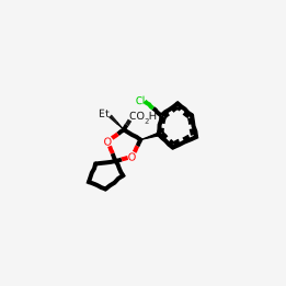 CC[C@]1(C(=O)O)OC2(CCCC2)O[C@@H]1c1ccccc1Cl